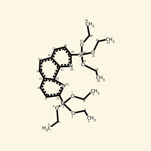 CCO[Si](OCC)(OCC)c1ccc2ccc3ccc([Si](OCC)(OCC)OCC)nc3c2n1